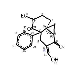 CCN1CC[C@]23C[C@@]2(C)C(=O)/C(=C\O)CC3(c2ccccc2)C1=O